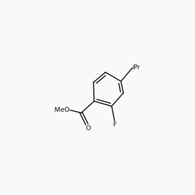 COC(=O)c1ccc(C(C)C)cc1F